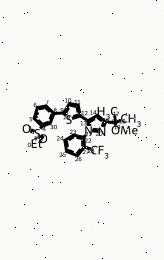 CCS(=O)(=O)c1cccc(-c2ccc(-c3cc(C(C)(C)OC)nn3-c3ccccc3C(F)(F)F)s2)c1